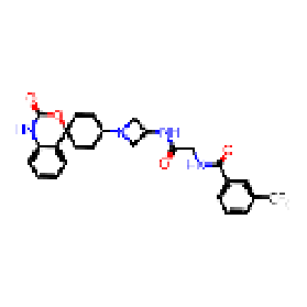 O=C(CNC(=O)c1cccc(C(F)(F)F)c1)NC1CN(C2CCC3(CC2)OC(=O)Nc2ccccc23)C1